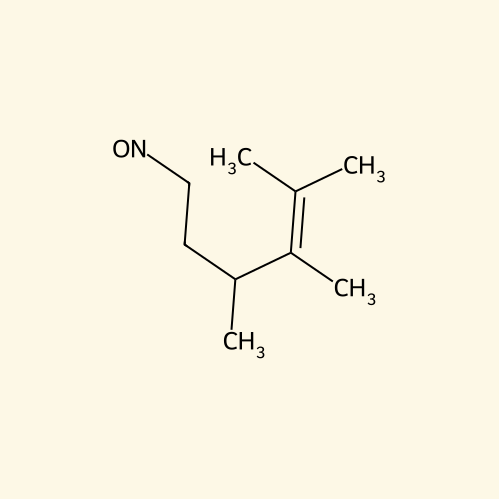 CC(C)=C(C)C(C)CCN=O